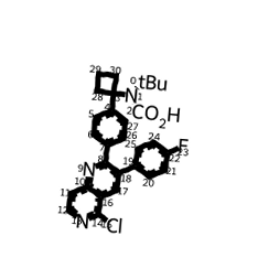 CC(C)(C)N(C(=O)O)C1(c2ccc(-c3nc4ccnc(Cl)c4cc3-c3ccc(F)cc3)cc2)CCC1